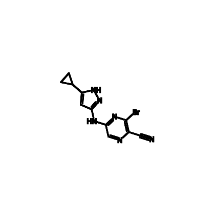 N#Cc1ncc(Nc2cc(C3CC3)[nH]n2)nc1Br